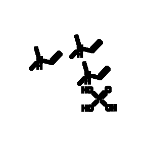 C=C[SiH](C)C.C=C[SiH](C)C.C=C[SiH](C)C.O=P(O)(O)O